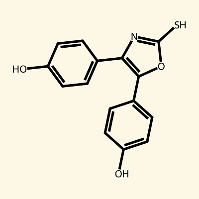 Oc1ccc(-c2nc(S)oc2-c2ccc(O)cc2)cc1